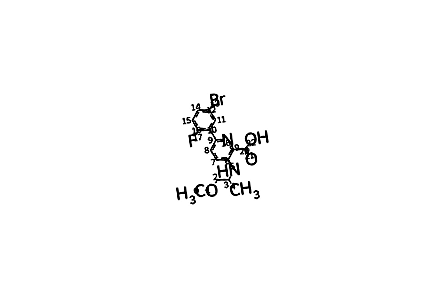 COCC(C)Nc1ccc(-c2cc(Br)ccc2F)nc1C(=O)O